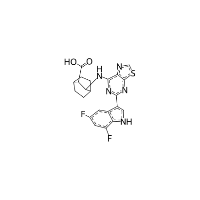 O=C(O)C1C2CCC(CC2)C1Nc1nc(-c2c[nH]c3c(F)cc(F)cc23)nc2scnc12